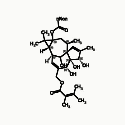 CCCCCCCCCC(=O)O[C@@]12C[C@@H](C)[C@]34C=C(C)[C@H](O)[C@@]3(O)[C@H](O)C(COC(=O)C(C)=C(C)C)=C[C@H](C4O)[C@@H]1C2(C)C